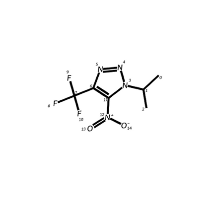 CC(C)n1nnc(C(F)(F)F)c1[N+](=O)[O-]